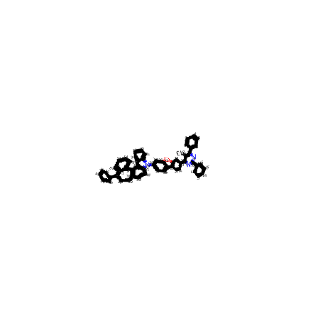 CCc1c(-c2ccccc2)nc(-c2ccccc2)nc1-c1ccc2c(c1)oc1cc(-n3c4ccccc4c4c5c(ccc43)CCC(c3ccccc3)c3ccccc3-5)ccc12